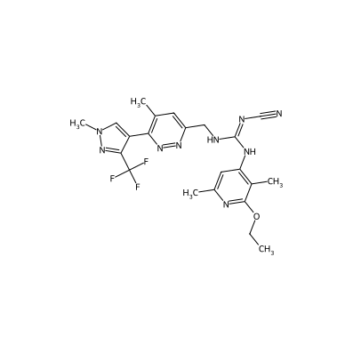 CCOc1nc(C)cc(N/C(=N\C#N)NCc2cc(C)c(-c3cn(C)nc3C(F)(F)F)nn2)c1C